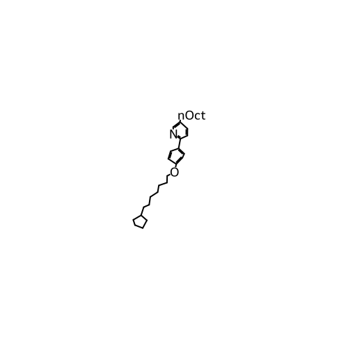 CCCCCCCCc1ccc(-c2ccc(OCCCCCCCC3CCCC3)cc2)nc1